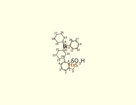 Cc1ccccc1S(=O)(=O)O.S.c1cc[c]([Bi]([CH]2CCCCC2)[CH]2CCCCC2)cc1